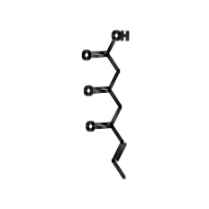 CC=CC(=O)CC(=O)CC(=O)O